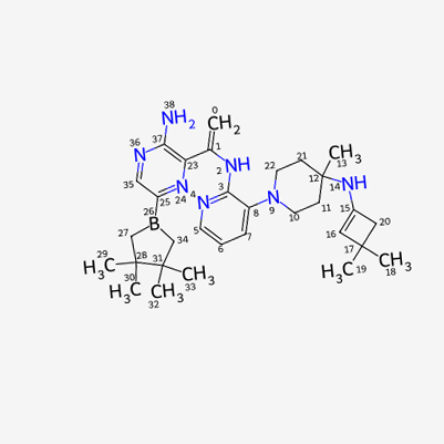 C=C(Nc1ncccc1N1CCC(C)(NC2=CC(C)(C)C2)CC1)c1nc(B2CC(C)(C)C(C)(C)C2)cnc1N